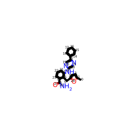 Cc1ccc(Cc2c(Nc3cnc(-c4ccccc4)cn3)cccc2C(N)=O)o1